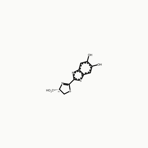 O=C(O)[C@H]1CSC(c2nc3cc(O)c(O)cc3s2)=N1